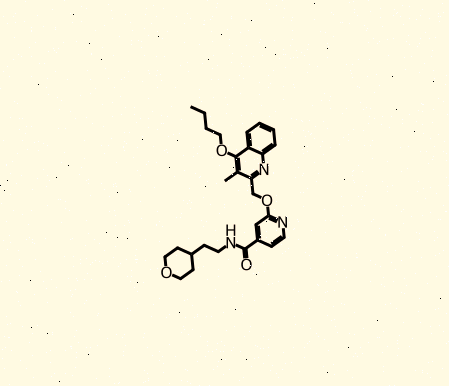 CCCCOc1c(C)c(COc2cc(C(=O)NCCC3CCOCC3)ccn2)nc2ccccc12